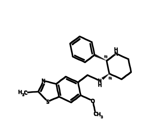 COc1cc2sc(C)nc2cc1CN[C@H]1CCCN[C@H]1c1ccccc1